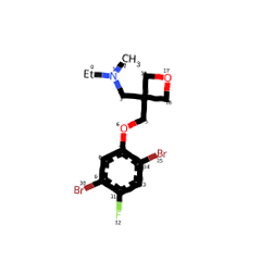 CCN(C)CC1(COc2cc(Br)c(F)cc2Br)COC1